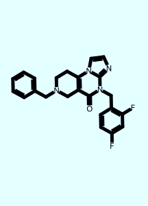 O=c1c2c(n3ccnc3n1Cc1ccc(F)cc1F)CCN(Cc1ccccc1)C2